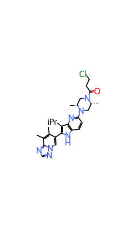 Cc1c(-c2[nH]c3ccc(N4C[C@@H](C)N(C(=O)CCCl)C[C@@H]4C)nc3c2C(C)C)cn2ncnc2c1C